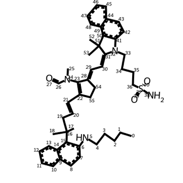 CCCCCNc1ccc2ccccc2c1C(C)(C)C/C=C/C1=C(N(C)C=O)C(=C/C=C2/N(CCCCS(N)(=O)=O)c3ccc4ccccc4c3C2(C)C)/CC1